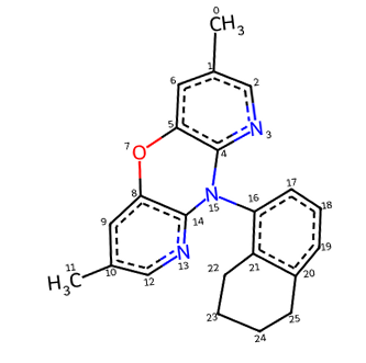 Cc1cnc2c(c1)Oc1cc(C)cnc1N2c1cccc2c1CCCC2